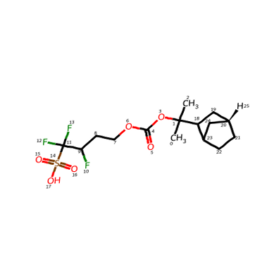 CC(C)(OC(=O)OCCC(F)C(F)(F)S(=O)(=O)O)C1C[C@@H]2CCC1C2